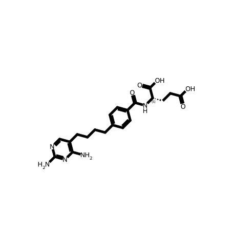 Nc1ncc(CCCCc2ccc(C(=O)N[C@@H](CCC(=O)O)C(=O)O)cc2)c(N)n1